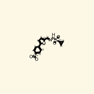 O=[N+]([O-])c1ccc(-c2ccc(C=NNS(=O)(=O)C3CC3)o2)cc1